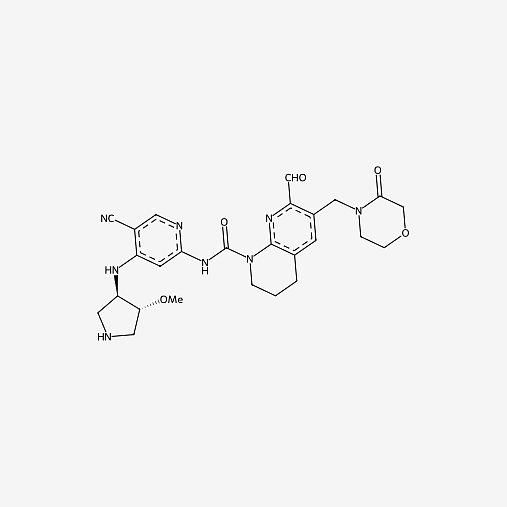 CO[C@@H]1CNC[C@H]1Nc1cc(NC(=O)N2CCCc3cc(CN4CCOCC4=O)c(C=O)nc32)ncc1C#N